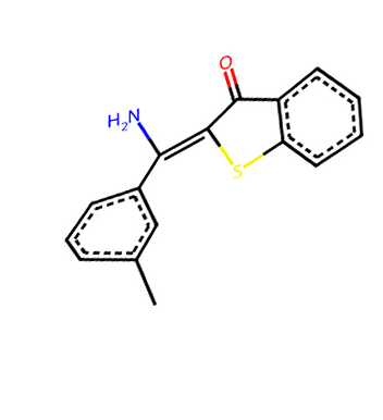 Cc1cccc(C(N)=C2Sc3ccccc3C2=O)c1